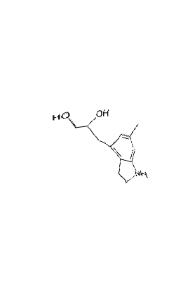 Cc1cc(CC(O)CO)c2c(c1)NCC2